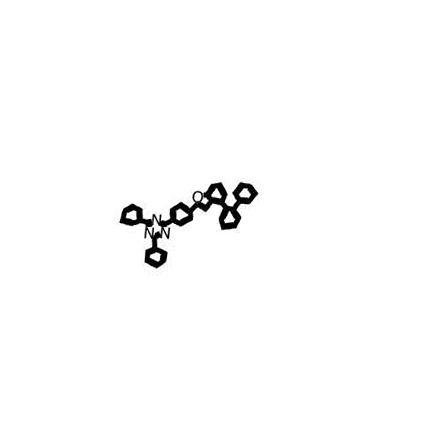 c1ccc(-c2nc(-c3ccccc3)nc(-c3ccc(-c4cc5c(-c6ccccc6-c6ccccc6)cccc5o4)cc3)n2)cc1